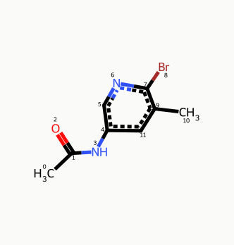 CC(=O)Nc1cnc(Br)c(C)c1